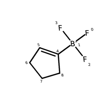 F[B-](F)(F)C1=CCCC1